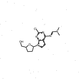 CN(C)/C=N/c1nc(Cl)nc2c1ccn2C1CCC(CO)O1